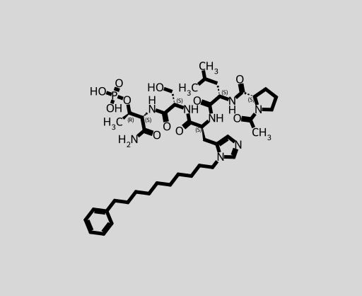 CC(=O)N1CCC[C@H]1C(=O)N[C@@H](CC(C)C)C(=O)N[C@@H](Cc1cncn1CCCCCCCCCCc1ccccc1)C(=O)N[C@@H](CO)C(=O)N[C@H](C(N)=O)[C@@H](C)OP(=O)(O)O